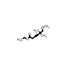 CCOC(=O)CC#CC(C)(C)COC